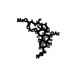 COC(=O)CC[C@@H](C)[C@H]1CC[C@H]2C3C(C[C@H](OC(C)=O)[C@]12C)[C@@]1(C)CCC(N=[N+]=[N-])C[C@H]1C[C@H]3OC(C)=O